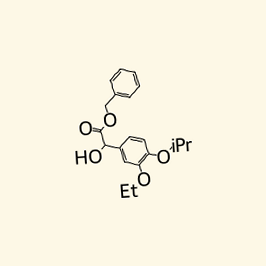 CCOc1cc(C(O)C(=O)OCc2ccccc2)ccc1OC(C)C